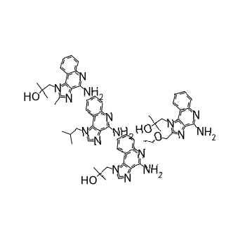 CC(C)(O)Cn1cnc2c(N)nc3ccccc3c21.CC(C)Cn1cnc2c(N)nc3ccccc3c21.CCOCc1nc2c(N)nc3ccccc3c2n1CC(C)(C)O.Cc1nc2c(N)nc3ccccc3c2n1CC(C)(C)O